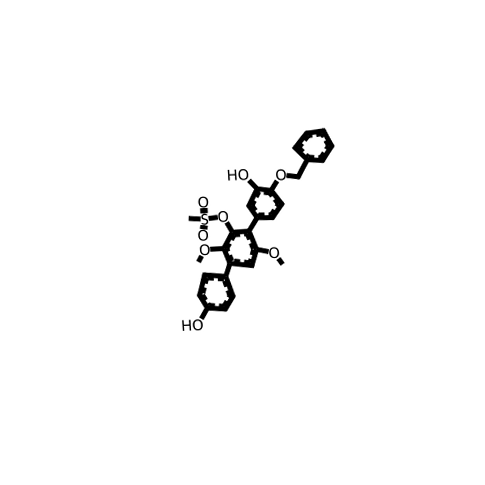 COc1cc(-c2ccc(O)cc2)c(OC)c(OS(C)(=O)=O)c1-c1ccc(OCc2ccccc2)c(O)c1